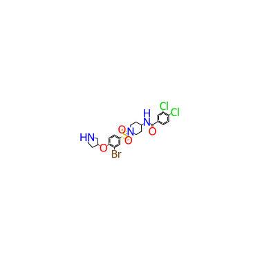 O=C(NC1CCN(S(=O)(=O)c2ccc(OC3CCNC3)c(Br)c2)CC1)c1ccc(Cl)c(Cl)c1